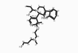 CCC(C)N1CCc2c([nH]c3ccccc23)C1c1c(F)cnc(OCCN(C)CCCF)c1C